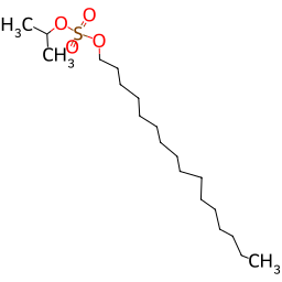 CCCCCCCCCCCCCCCCOS(=O)(=O)OC(C)C